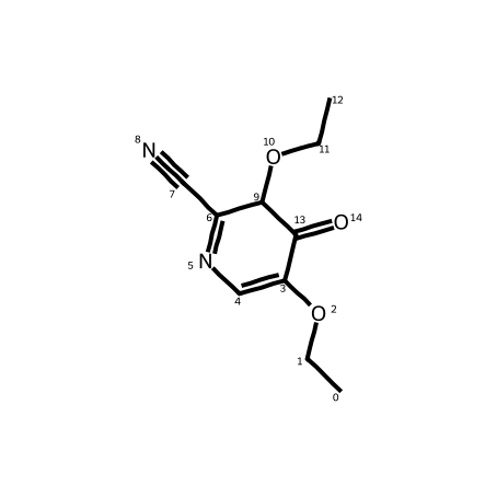 CCOC1=CN=C(C#N)C(OCC)C1=O